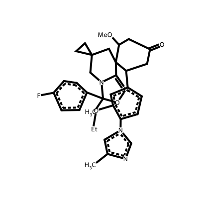 CCOc1cc(C2CC(=O)CC(OC)C23CC2(CC2)CN2C3=NOC2(C)c2ccc(F)cc2)ccc1-n1cnc(C)c1